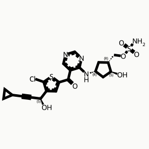 NS(=O)(=O)OC[C@H]1C[C@@H](Nc2ncncc2C(=O)c2cc([C@@H](O)C#CC3CC3)c(Cl)s2)C[C@@H]1O